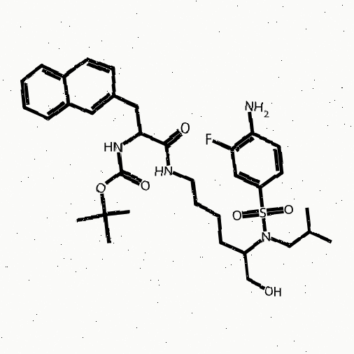 CC(C)CN(C(CO)CCCCNC(=O)C(Cc1ccc2ccccc2c1)NC(=O)OC(C)(C)C)S(=O)(=O)c1ccc(N)c(F)c1